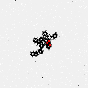 CCC(C)(c1ccccc1)c1cccc(-c2cc(-n3c4ccccc4c4ccc5c(c6ccccc6n5-c5ccccc5-c5nc(-c6ccccc6)nc(-c6ccccc6)n5)c43)cc(C(C)(CC)c3ccccc3)c2)c1